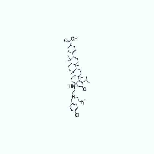 CC(C)C1=C2[C@H]3CCC4[C@@]5(C)CC=C(C6=CCC(C(=O)O)CC6)C(C)(C)C5CC[C@@]4(C)[C@]3(C)CC[C@@]2(NCCN(CCN(C)C)Cc2ccc(Cl)cc2)CC1=O